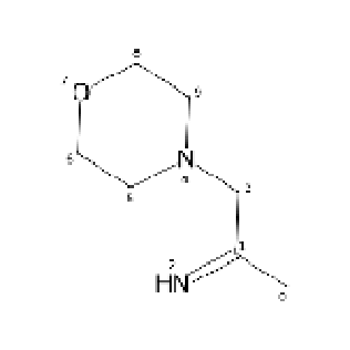 CC(=N)CN1CCOCC1